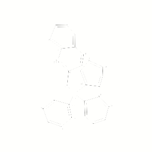 c1ccc([PH](Cc2ccc3ccccc3n2)(c2ccccc2)c2ccccc2)cc1